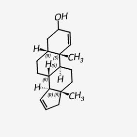 C[C@@]12CC=C[C@H]1[C@@H]1CC[C@@H]3CC(O)C=C[C@]3(C)[C@H]1CC2